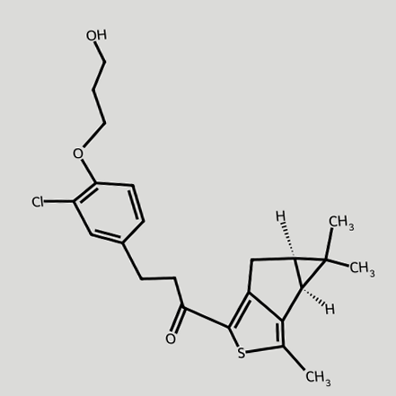 Cc1sc(C(=O)CCc2ccc(OCCCO)c(Cl)c2)c2c1[C@H]1[C@@H](C2)C1(C)C